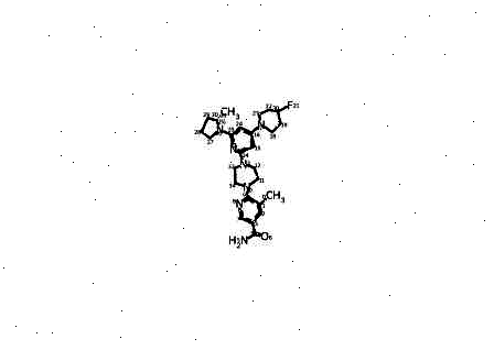 Cc1cc(C(N)=O)cnc1N1CCN(c2cc(N3CCC(F)CC3)cc(N3CCC[C@@H]3C)n2)CC1